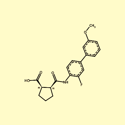 COc1cccc(-c2ccc(NC(=O)[C@H]3CCC[C@H]3C(=O)O)c(F)c2)c1